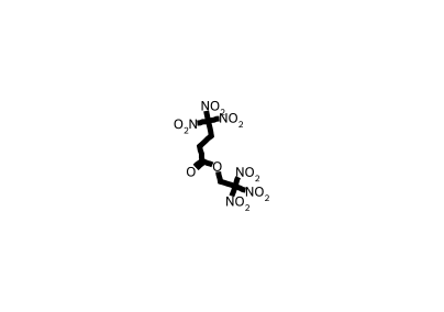 O=C(CCC([N+](=O)[O-])([N+](=O)[O-])[N+](=O)[O-])OCC([N+](=O)[O-])([N+](=O)[O-])[N+](=O)[O-]